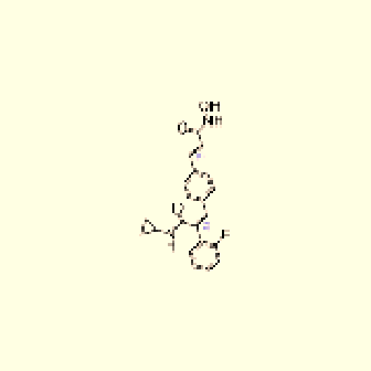 O=C(/C=C/c1ccc(/C=C(\C(=O)NC2CC2)c2ccccc2F)cc1)NO